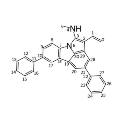 C=Cc1c(NC)n2c3ccc(-c4ccccc4)cc3c3cc(-c4ccccc4)cc1c32